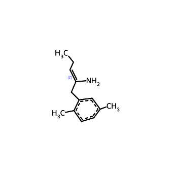 CC/C=C(\N)Cc1cc(C)ccc1C